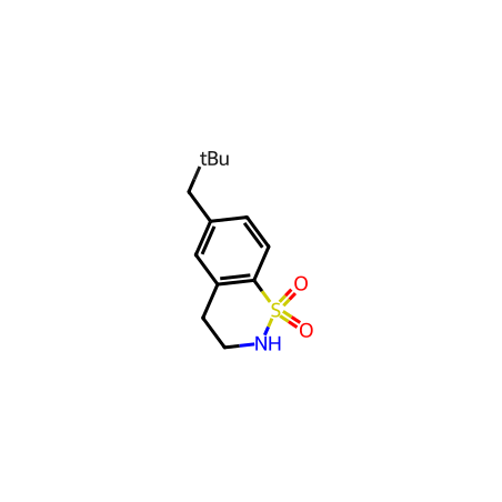 CC(C)(C)Cc1ccc2c(c1)CCNS2(=O)=O